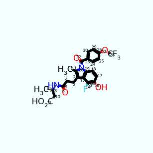 Cc1c(CCC(=O)N[C@@H](C)CC(=O)O)c2c(F)c(O)ccc2n1C(=O)c1ccc(OC(F)(F)F)cc1